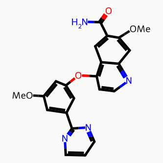 COc1cc(Oc2ccnc3cc(OC)c(C(N)=O)cc23)cc(-c2ncccn2)c1